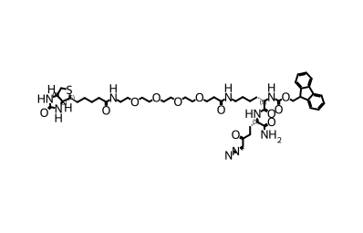 [N-]=[N+]=CC(=O)CC[C@H](NC(=O)[C@H](CCCCNC(=O)CCOCCOCCOCCOCCNC(=O)CCCC[C@@H]1SC[C@@H]2NC(=O)N[C@@H]21)NC(=O)OCC1c2ccccc2-c2ccccc21)C(N)=O